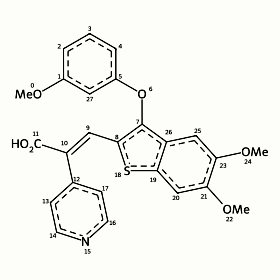 COc1cccc(Oc2c(/C=C(/C(=O)O)c3ccncc3)sc3cc(OC)c(OC)cc23)c1